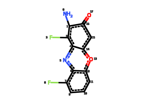 Nc1c(F)c2nc3c(F)cccc3oc-2cc1=O